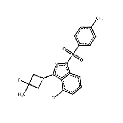 Cc1ccc(S(=O)(=O)n2nc(N3CC(C)(F)C3)c3c(Cl)cccc32)cc1